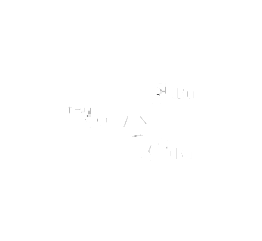 CC(C)(C)OC(=O)c1cc(CO[Si](C)(C)C(C)(C)C)cc(CO[Si](C)(C)C(C)(C)C)c1